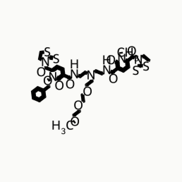 COCCOCCOCCN(CCNC(=O)c1ccc(C(=O)N2CCSC2=S)n(C)c1=O)CCNC(=O)c1ccc(C(=O)N2CCSC2=S)n(OCc2ccccc2)c1=O